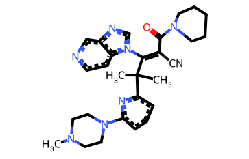 CN1CCN(c2cccc(C(C)(C)C(=C(C#N)C(=O)N3CCCCC3)n3cnc4cnccc43)n2)CC1